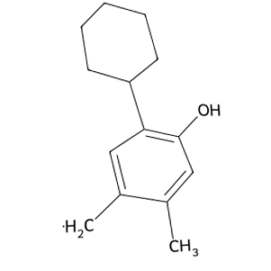 [CH2]c1cc(C2CCCCC2)c(O)cc1C